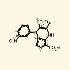 CCOC(=O)C1=C(C)Nc2c(C(=O)OCC)ncn2C1c1cccc([N+](=O)[O-])c1